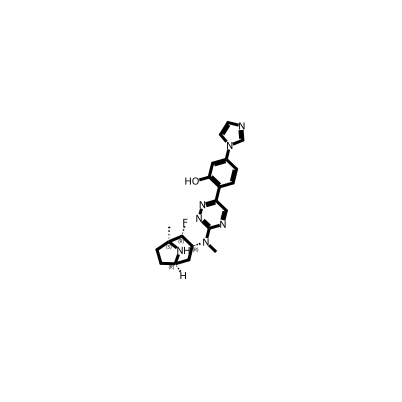 CN(c1ncc(-c2ccc(-n3ccnc3)cc2O)nn1)[C@@H]1C[C@H]2CC[C@](C)(N2)[C@@H]1F